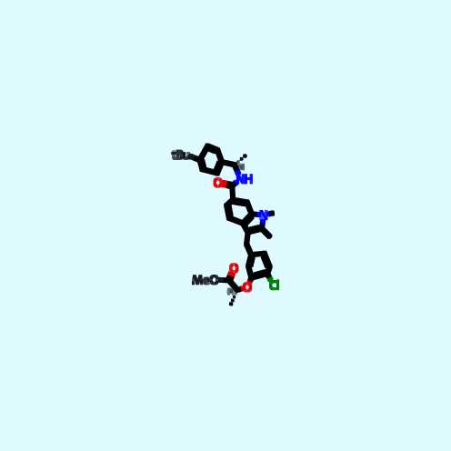 COC(=O)[C@@H](C)Oc1cc(Cc2c(C)n(C)c3cc(C(=O)N[C@@H](C)c4ccc(C(C)(C)C)cc4)ccc23)ccc1Cl